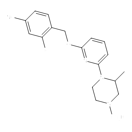 CC1CN(C(=O)O)CCN1c1cccc(OCc2ccc(C#N)cc2F)n1